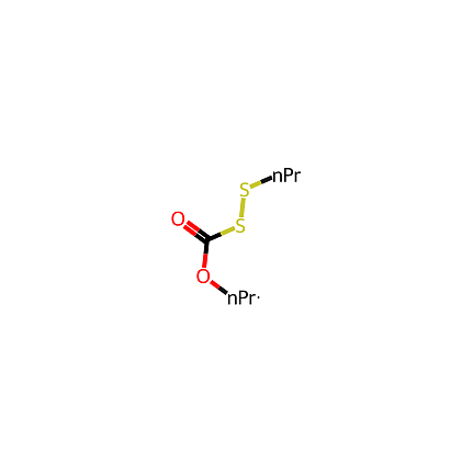 CC[CH]OC(=O)SSCCC